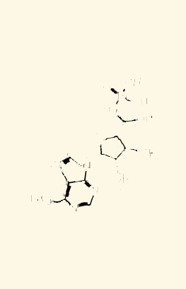 O=P(O)(O)OC(O)[C@H]1O[C@@H](n2cnc3c(O)ncnc32)[C@@H](O)[C@@H]1O